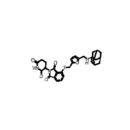 O=C1CCC(N2C(=O)c3cccc(SCc4ccc(CNC56CC7CC(CC(C7)C5)C6)o4)c3C2=O)C(=O)N1